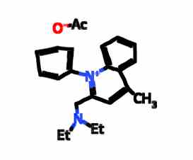 CC(=O)[O-].CCN(CC)Cc1cc(C)c2ccccc2[n+]1-c1ccccc1